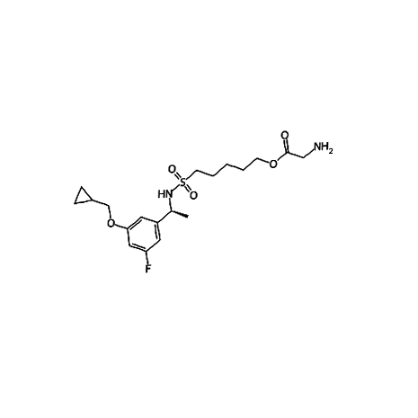 C[C@H](NS(=O)(=O)CCCCCOC(=O)CN)c1cc(F)cc(OCC2CC2)c1